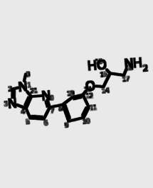 Cn1cnc2ccc(-c3cccc(OCC(O)CN)c3)nc21